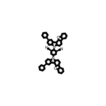 N#Cc1cc(-n2c3ccc(-c4ccccc4)cc3c3c4oc5ccccc5c4ccc32)cc(C#N)c1-n1c2ccc(-c3ccccc3)cc2c2c3oc4ccccc4c3ccc21